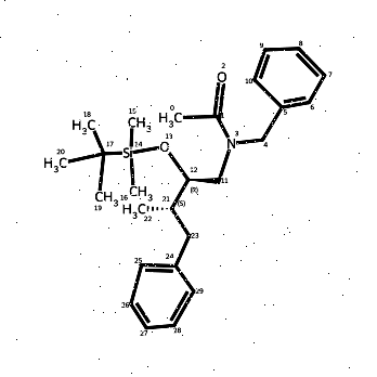 CC(=O)N(Cc1ccccc1)C[C@H](O[Si](C)(C)C(C)(C)C)[C@@H](C)Cc1ccccc1